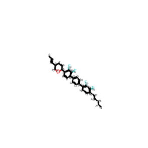 C/C=C/C1CCC(c2ccc(-c3ccc(-c4ccc(CCCCC)c(F)c4F)cc3)c(F)c2F)OC1